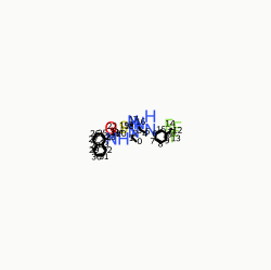 CCn1c(CNc2cccc(C(F)(F)F)c2)nnc1SCC(=O)Nc1cccc2ccccc12